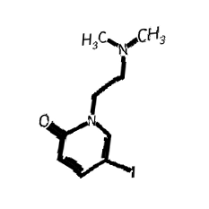 CN(C)CCn1cc(I)ccc1=O